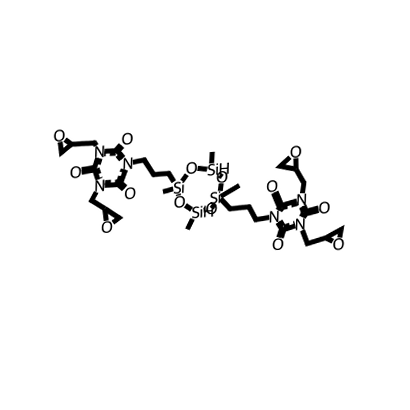 C[SiH]1O[Si](C)(CCCn2c(=O)n(CC3CO3)c(=O)n(CC3CO3)c2=O)O[SiH](C)O[Si](C)(CCCn2c(=O)n(CC3CO3)c(=O)n(CC3CO3)c2=O)O1